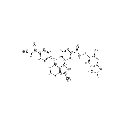 Cc1nc2cc(F)c(CNC(=O)c3cccc(-n4nc(C(F)(F)F)c5c4C(Oc4ccc(C(=O)OC(C)(C)C)cc4)CCC5)c3)cc2o1